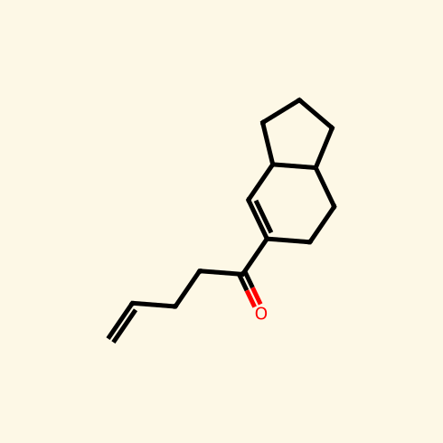 C=CCCC(=O)C1=CC2CCCC2CC1